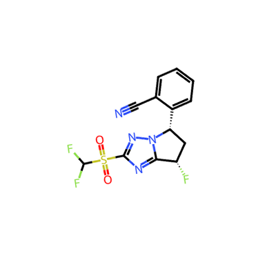 N#Cc1ccccc1[C@@H]1C[C@H](F)c2nc(S(=O)(=O)C(F)F)nn21